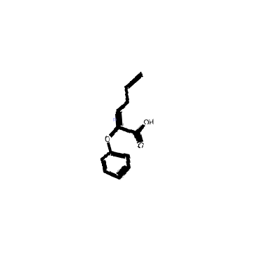 C=CC/C=C(/Oc1ccccc1)C(=O)O